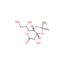 CC1(C)O[C@@H]2[C@H](O1)[C@H](O)C(=O)O[C@@H]2[C@@H](O)CO